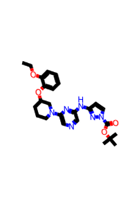 CCOc1ccccc1OC1CCCN(c2cncc(Nc3ccn(C(=O)OC(C)(C)C)n3)n2)C1